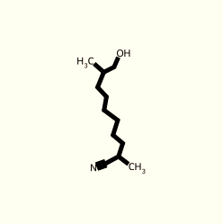 CC(C#N)CCCCCCC(C)CO